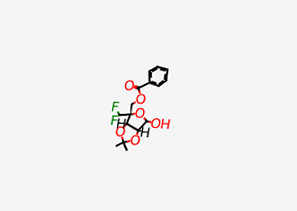 CC1(C)O[C@H]2C(O)O[C@@](COC(=O)c3ccccc3)(C(F)F)[C@H]2O1